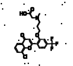 CN(CCCOc1cc(C(F)(F)F)ccc1-c1cc(=O)c2cccc(Cl)c2o1)CC(=O)O